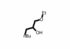 CCCCCC(O)COCC